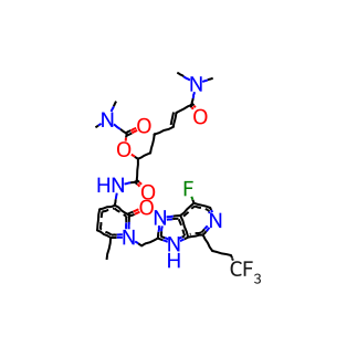 Cc1ccc(NC(=O)C(CCC=CC(=O)N(C)C)OC(=O)N(C)C)c(=O)n1Cc1nc2c(F)cnc(CCC(F)(F)F)c2[nH]1